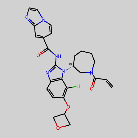 C=CC(=O)N1CCCC[C@@H](n2c(NC(=O)c3ccn4ccnc4c3)nc3ccc(OC4COC4)c(Cl)c32)C1